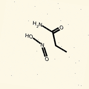 CCC(N)=O.O=NO